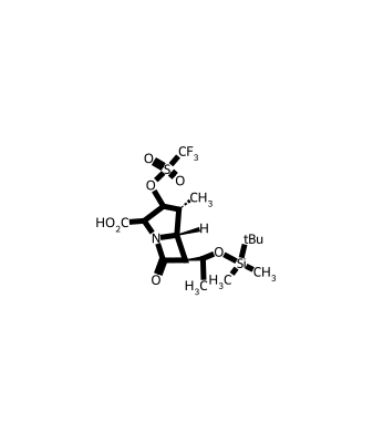 CC(O[Si](C)(C)C(C)(C)C)[C@H]1C(=O)N2C(C(=O)O)C(OS(=O)(=O)C(F)(F)F)[C@H](C)[C@H]12